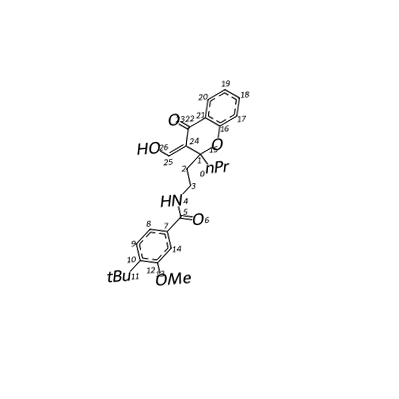 CCCC1(CCNC(=O)c2ccc(C(C)(C)C)c(OC)c2)Oc2ccccc2C(=O)/C1=C\O